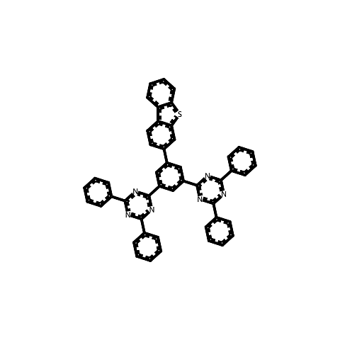 c1ccc(-c2nc(-c3ccccc3)nc(-c3cc(-c4ccc5c(c4)sc4ccccc45)cc(-c4nc(-c5ccccc5)nc(-c5ccccc5)n4)c3)n2)cc1